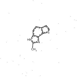 Cc1nc2c(ccc3ccsc32)[nH]1